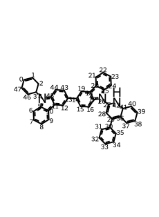 C1=CCC(n2c3ccccc3c3cc(-c4ccc5c(c4)c4ccccc4n5C4=CC(c5ccccc5)=C5C=CC=CC5N4)ccc32)C=C1